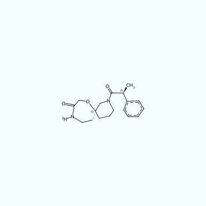 [2H]N1CC[C@]2(CCCN(C(=O)[C@@H](C)c3ccccc3)C2)OCC1=O